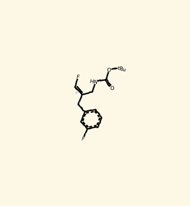 CC(C)(C)OC(=O)NC/C(=C\F)Cc1cccc(F)c1